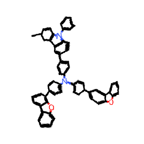 CC1C=Cc2c(c3cc(-c4ccc(N(C5=CCC(c6ccc7oc8ccccc8c7c6)C=C5)c5ccc(-c6cccc7c6oc6ccccc67)cc5)cc4)ccc3n2-c2ccccc2)C1